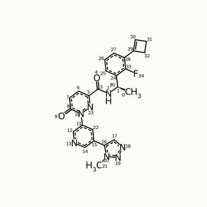 C[C@@H](NC(=O)c1ccc(=O)n(-c2cncc(-c3cnnn3C)c2)n1)c1cccc(C2=CCC2)c1F